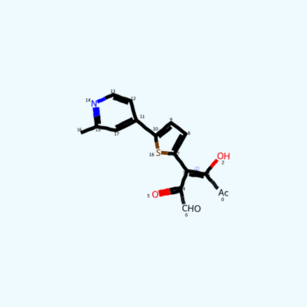 CC(=O)/C(O)=C(\C(=O)C=O)c1ccc(-c2ccnc(C)c2)s1